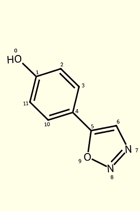 Oc1ccc(-c2cnno2)cc1